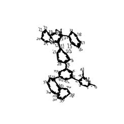 Cc1ccc(-c2cc(-c3ccc(-c4c(-c5ccccc5)nc5ccccn45)cc3)cc(-c3cccc4ccccc34)c2)c(C)n1